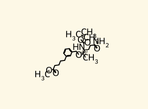 COC(=O)CCCCc1cccc(CO[C@H](C)[C@H](CCC(N)=O)NC(=O)OC(C)(C)C)c1